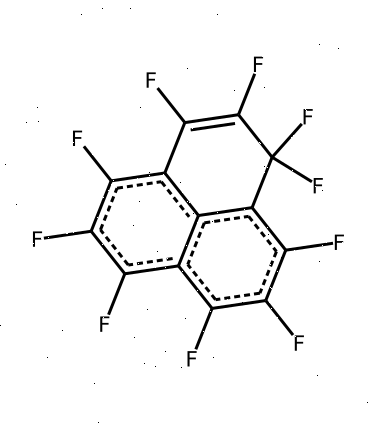 FC1=C(F)C(F)(F)c2c(F)c(F)c(F)c3c(F)c(F)c(F)c1c23